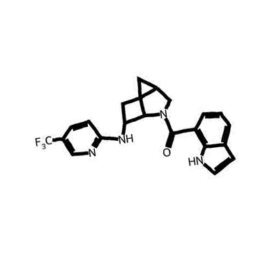 O=C(c1cccc2cc[nH]c12)N1CC2CC23CC(Nc2ccc(C(F)(F)F)cn2)C13